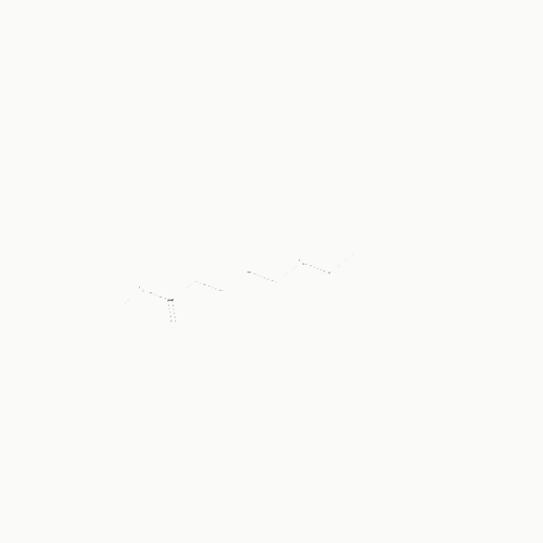 CCNCCCCC(=O)NC